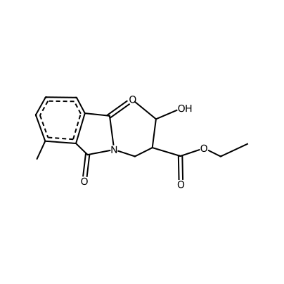 CCOC(=O)C(CN1C(=O)c2cccc(C)c2C1=O)C(C)O